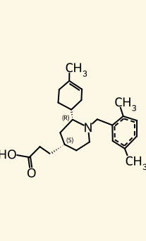 CC1=CCC([C@H]2C[C@@H](CCC(=O)O)CCN2Cc2cc(C)ccc2C)CC1